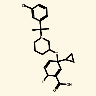 CC(C)(c1cccc(Cl)c1)N1CCCC(OC2(C3CC3)C=CC(F)C(C(=O)O)=C2)C1